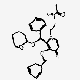 CC(=O)NCCn1ccc(=O)c(OCc2ccccc2)c1C(OC1CCCCO1)c1ccccc1